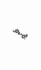 CCc1cccc(C(C)(C)CCc2ccc(F)c(C(C)(C)C)c2)c1